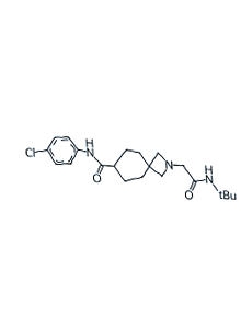 CC(C)(C)NC(=O)CN1CC2(CCC(C(=O)Nc3ccc(Cl)cc3)CC2)C1